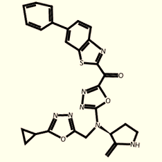 C=C1NCC[C@@H]1N(Cc1nnc(C2CC2)o1)c1nnc(C(=O)c2nc3ccc(-c4ccccc4)cc3s2)o1